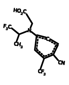 CC(N(CC(=O)O)c1ccc(C#N)c(C(F)(F)F)c1)C(F)(F)F